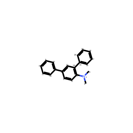 CN(C)c1ccc(-c2ccccc2)cc1-c1ccccc1